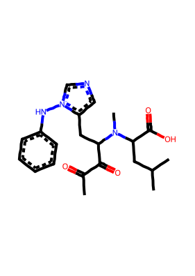 CC(=O)C(=O)C(Cc1cncn1Nc1ccccc1)N(C)C(CC(C)C)C(=O)O